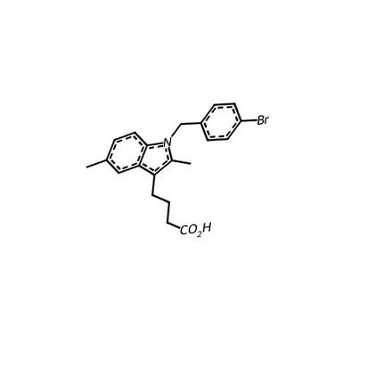 Cc1ccc2c(c1)c(CCCC(=O)O)c(C)n2Cc1ccc(Br)cc1